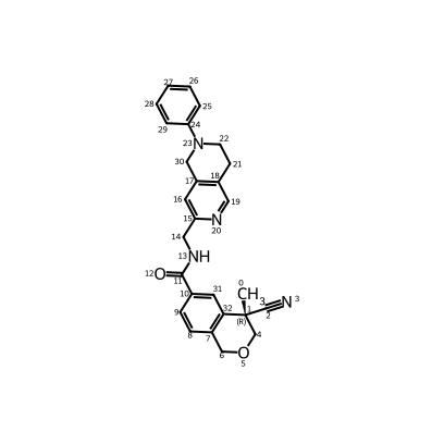 C[C@@]1(C#N)COCc2ccc(C(=O)NCc3cc4c(cn3)CCN(c3ccccc3)C4)cc21